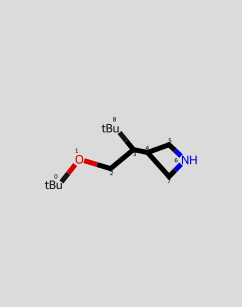 CC(C)(C)OCC(C1CNC1)C(C)(C)C